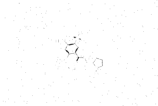 CCN1CCC[C@H]1CNC(=O)c1cc(S(=O)(=O)CC)c(N)cc1OC.CCOC(C)=O